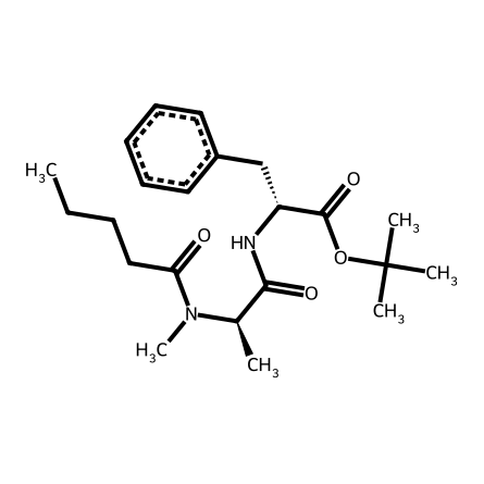 CCCCC(=O)N(C)[C@H](C)C(=O)N[C@H](Cc1ccccc1)C(=O)OC(C)(C)C